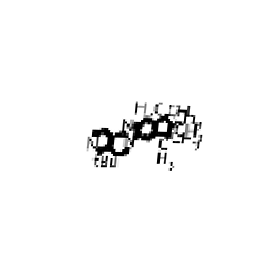 CC(C)(C)c1nccc2c1CCn1c-2nc2cc3c(cc21)C(C)(C)C(C)(C)C3(C)C